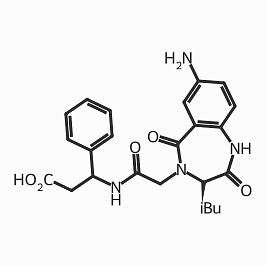 CC[C@H](C)C1C(=O)Nc2ccc(N)cc2C(=O)N1CC(=O)NC(CC(=O)O)c1ccccc1